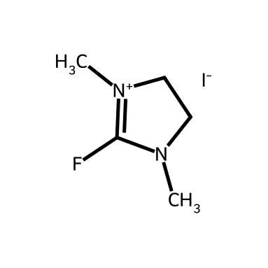 CN1CC[N+](C)=C1F.[I-]